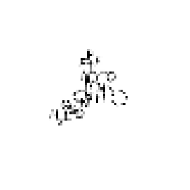 CS(=O)(=O)c1ccc(-n2nc(C(F)(F)F)c(C=O)c2NCC2CCCCC2)nn1